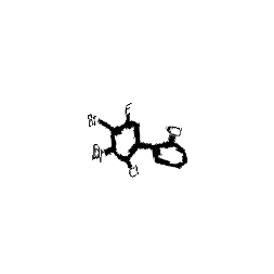 Fc1cc(-c2ccccc2Cl)c(Cl)c(Br)c1Br